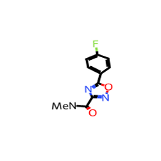 CNC(=O)c1noc(-c2ccc(F)cc2)n1